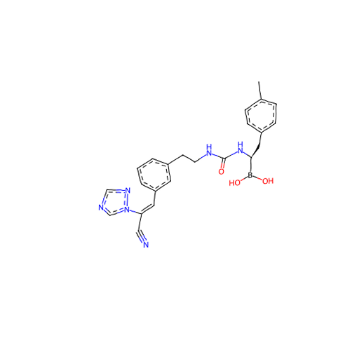 Cc1ccc(C[C@H](NC(=O)NCCc2cccc(C=C(C#N)n3cncn3)c2)B(O)O)cc1